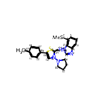 CSc1cccc2nc([C@@H]3CCCN3N3[C]=C(c4ccc(C)cc4)SC3C)[nH]c12